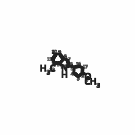 COc1ccc(-c2cc3cccc(C)c3[nH]2)cc1